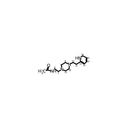 CC(=O)NCCN1CCN(CCC2=CC=CCN2)CC1